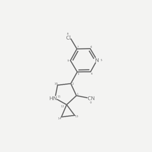 N#CC1C(c2cncc(Cl)c2)CNC12CC2